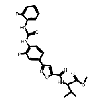 COC(=O)C(NC(=O)c1cc(-c2ccc(NC(=O)Nc3ccccc3F)c(F)c2)no1)C(C)C